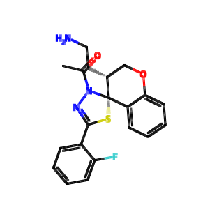 CC(=O)N1N=C(c2ccccc2F)S[C@]12c1ccccc1OC[C@H]2CCN